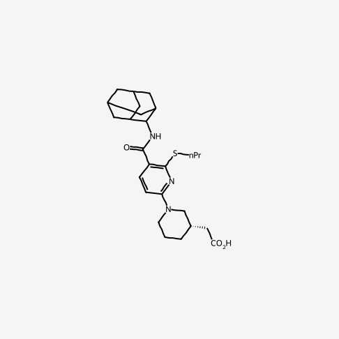 CCCSc1nc(N2CCC[C@@H](CC(=O)O)C2)ccc1C(=O)NC1C2CC3CC(C2)CC1C3